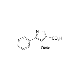 COc1c(C(=O)O)cnn1-c1ccccc1